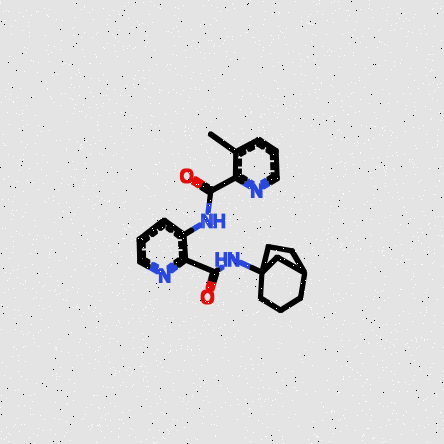 Cc1cccnc1C(=O)Nc1cccnc1C(=O)NC12CCCC(CC1)C2